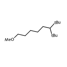 COCCCCCC(C(C)(C)C)C(C)(C)C